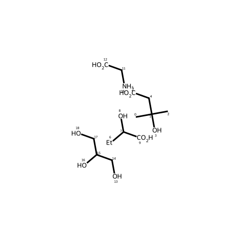 CC(C)(O)CC(=O)O.CCC(O)C(=O)O.NCC(=O)O.OCC(O)CO